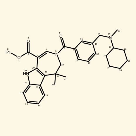 CC(C)OC(=O)C1=CN(C(=O)c2cccc(CN(C)C3CCCCC3)c2)CC(C)(C)c2c1[nH]c1ccccc21